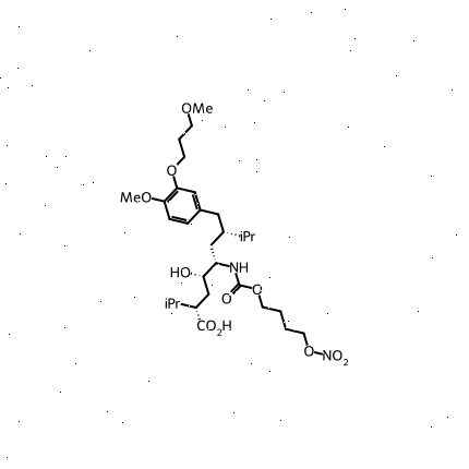 COCCCOc1cc(C[C@@H](C[C@H](NC(=O)OCCCCO[N+](=O)[O-])[C@@H](O)C[C@H](C(=O)O)C(C)C)C(C)C)ccc1OC